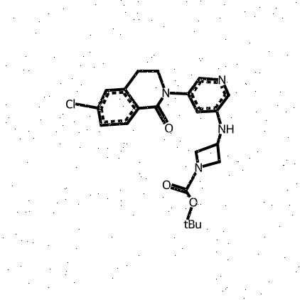 CC(C)(C)OC(=O)N1CC(Nc2cncc(N3CCc4cc(Cl)ccc4C3=O)c2)C1